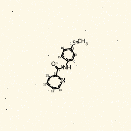 CSc1ccc(NC(=O)c2ccccn2)cc1